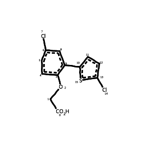 O=C(O)COc1ccc(Cl)cc1-c1ccc(Cl)s1